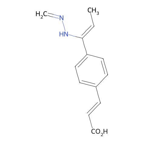 C=NN/C(=C\C)c1ccc(/C=C/C(=O)O)cc1